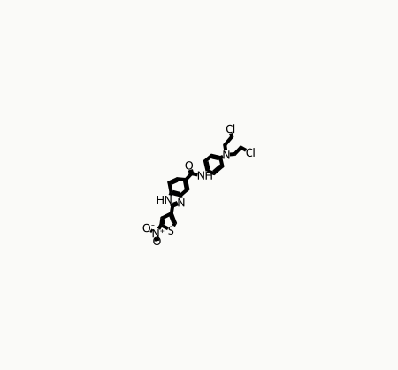 O=C(Nc1ccc(N(CCCl)CCCl)cc1)c1ccc2[nH]c(-c3csc([N+](=O)[O-])c3)nc2c1